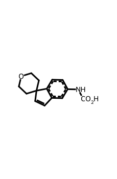 O=C(O)Nc1ccc2c(c1)C=CC21CCOCC1